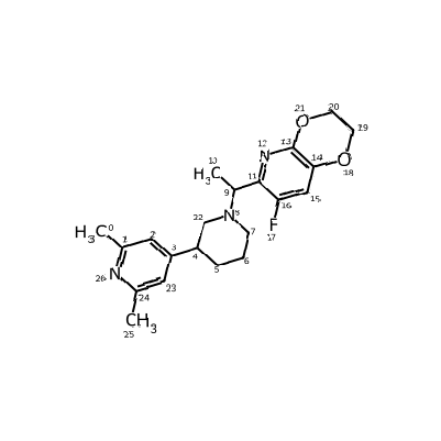 Cc1cc(C2CCCN(C(C)c3nc4c(cc3F)OCCO4)C2)cc(C)n1